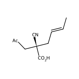 C/C=C/C[C@@](C#N)(CC(C)=O)C(=O)O